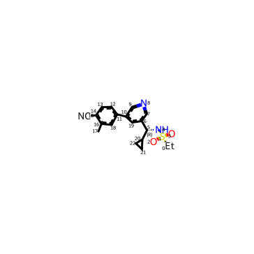 CCS(=O)(=O)N[C@@H](c1cncc(-c2ccc(C#N)c(C)c2)c1)C1CC1